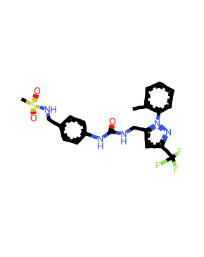 Cc1ccccc1-n1nc(C(F)(F)F)cc1CNC(=O)Nc1ccc(CNS(C)(=O)=O)cc1